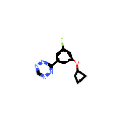 Fc1cc(OC2CCC2)cc(-c2nncnn2)c1